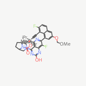 COCOc1cc(-c2nc(OC)c3c(N4CC5CCC(C4)N5C(=O)OC(C)(C)C)nc(O)nc3c2F)c2c(C#C[Si](C(C)C)(C(C)C)C(C)C)c(F)ccc2c1